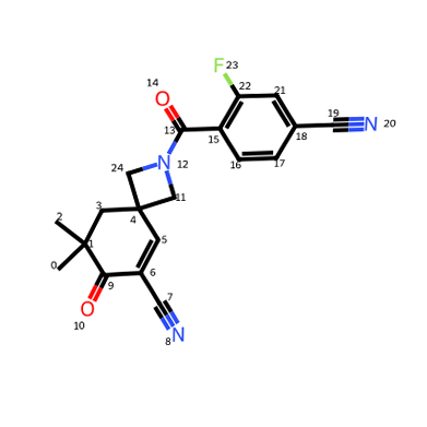 CC1(C)CC2(C=C(C#N)C1=O)CN(C(=O)c1ccc(C#N)cc1F)C2